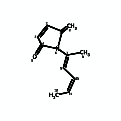 C=C1C=CC(=O)N1/C(C)=C/C=C\C